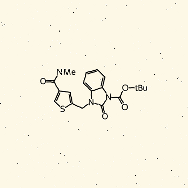 CNC(=O)c1csc(Cn2c(=O)n(C(=O)OC(C)(C)C)c3ccccc32)c1